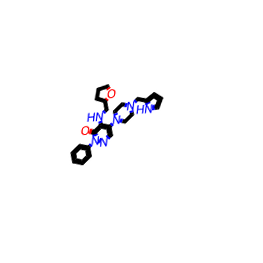 O=c1c(NCC2CCCO2)c(N2CCN(Cc3ccc[nH]3)CC2)cnn1-c1ccccc1